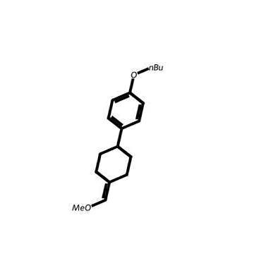 CCCCOc1ccc(C2CCC(=COC)CC2)cc1